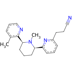 Cc1cccnc1[C@@H]1CCC[C@H](c2cccc(CCC#N)n2)N1C